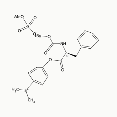 COS(=O)(=O)[O-].C[S+](C)c1ccc(OC(=O)[C@H](Cc2ccccc2)NC(=O)OC(C)(C)C)cc1